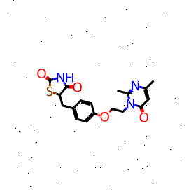 Cc1cc(=O)n(CCOc2ccc(CC3SC(=O)NC3=O)cc2)c(C)n1